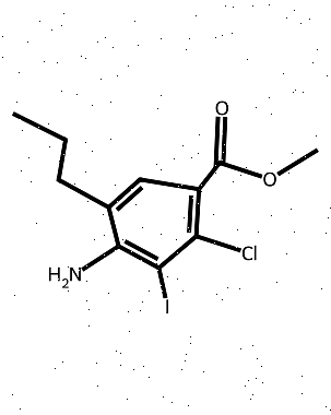 CCCc1cc(C(=O)OC)c(Cl)c(I)c1N